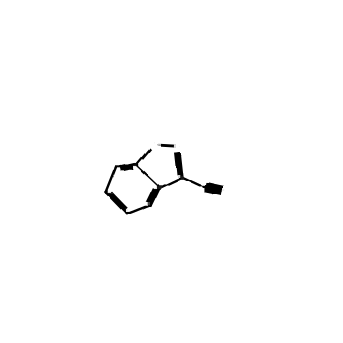 C#Cc1n[nH]c2ccccc12